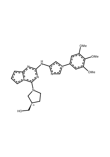 COc1cc(-n2cnc(Nc3nc(N4CC[C@@H](CO)C4)n4cccc4n3)c2)cc(OC)c1OC